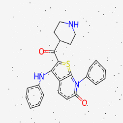 O=C(c1sc2c(ccc(=O)n2-c2ccccc2)c1Nc1ccccc1)C1CCNCC1